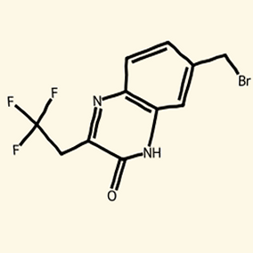 O=c1[nH]c2cc(CBr)ccc2nc1CC(F)(F)F